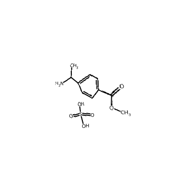 COC(=O)c1ccc(C(C)N)cc1.O=S(=O)(O)O